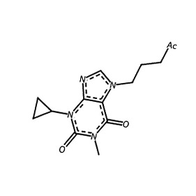 CC(=O)CCCn1cnc2c1c(=O)n(C)c(=O)n2C1CC1